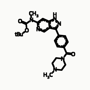 CN1CCN(C(=O)c2ccc(-c3n[nH]c4cc(N(C)C(=O)OC(C)(C)C)ncc34)cc2)CC1